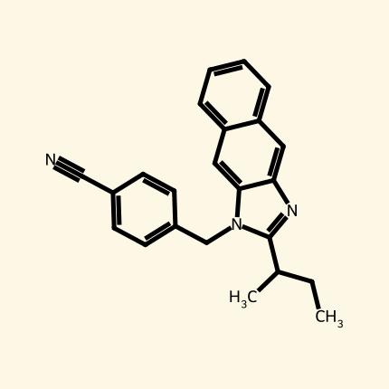 CCC(C)c1nc2cc3ccccc3cc2n1Cc1ccc(C#N)cc1